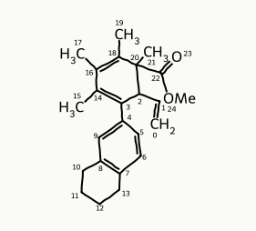 C=CC1C(c2ccc3c(c2)CCCC3)=C(C)C(C)=C(C)C1(C)C(=O)OC